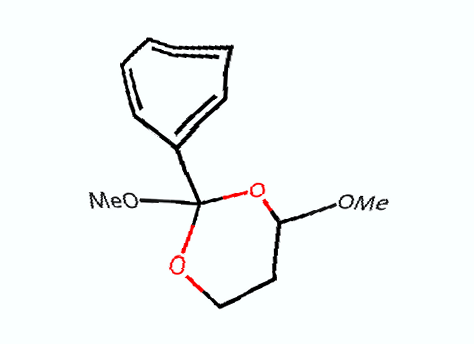 COC1CCOC(OC)(c2ccccc2)O1